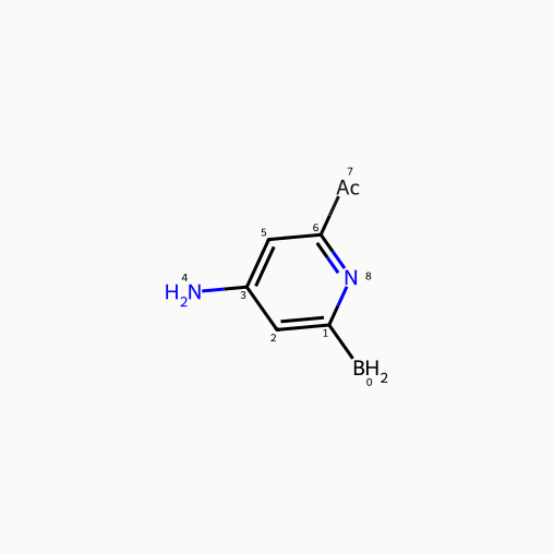 Bc1cc(N)cc(C(C)=O)n1